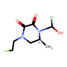 C[C@H]1CN(CCF)C(=O)C(=O)N1C(O)Cl